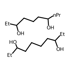 CCC(O)CCCCC(O)CC.CCCC(O)CCCC(O)CC